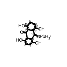 O=C1c2c(O)ccc(O)c2C(=O)c2c(O)ccc(O)c21.[PbH2]